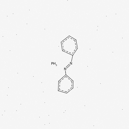 P.c1ccc(N=Nc2ccccc2)cc1